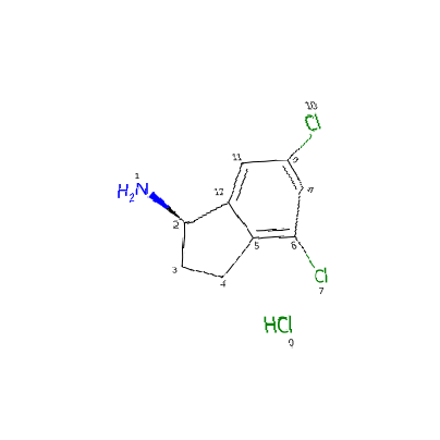 Cl.N[C@@H]1CCc2c(Cl)cc(Cl)cc21